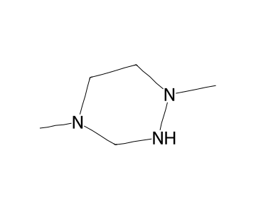 CN1CCN(C)NC1